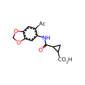 CC(=O)c1cc2c(cc1NC(=O)C1CC1C(=O)O)OCO2